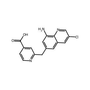 Nc1cc(Cc2cc(C(=O)O)ccn2)cc2cc(Cl)cnc12